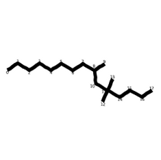 CCCCCCCC[C](C)CC(C)(C)CCCC